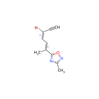 C#C/C(Br)=C\C=C(/C)c1nc(C)no1